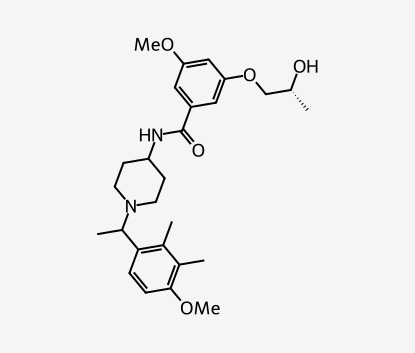 COc1cc(OC[C@@H](C)O)cc(C(=O)NC2CCN(C(C)c3ccc(OC)c(C)c3C)CC2)c1